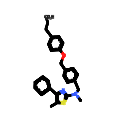 Cc1sc(N(C)Cc2ccc(COc3ccc(CCC(=O)O)cc3)cc2)nc1-c1ccccc1